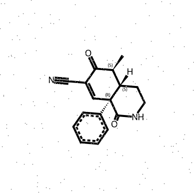 C[C@@H]1C(=O)C(C#N)=C[C@]2(c3ccccc3)C(=O)NCC[C@@H]12